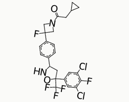 O=C(CC1CC1)N1CC(F)(c2ccc(C3CC(c4cc(Cl)c(F)c(Cl)c4)(C(F)(F)F)ON3)cc2)C1